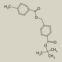 Cc1ccc(C(=O)OCc2ccc(C(=O)OC(C)(C)C)cc2)cc1